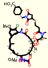 COc1cc2cc(c1Cl)N(C)C(=O)C[C@H](OC(=O)[C@H](C)N(C)C(=O)CCSC1CC(=O)N(C[C@H]3CC[C@H](C(=O)O)CC3)C1=O)[C@]1(C)O[C@H]1[C@H](C)[C@@H]1C[C@@](O)(NC(=O)O1)[C@H](OC)/C=C/C=C(\C)C2